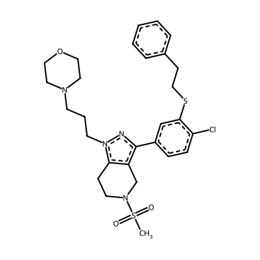 CS(=O)(=O)N1CCc2c(c(-c3ccc(Cl)c(SCCc4ccccc4)c3)nn2CCCN2CCOCC2)C1